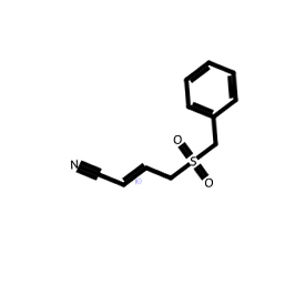 N#C/C=C/CS(=O)(=O)Cc1ccccc1